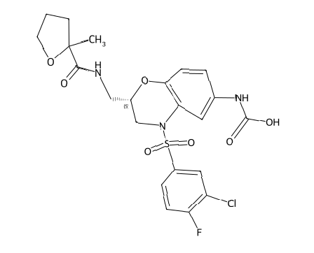 CC1(C(=O)NC[C@H]2CN(S(=O)(=O)c3ccc(F)c(Cl)c3)c3cc(NC(=O)O)ccc3O2)CCCO1